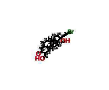 C[C@]12C/C(=C/O)C(=O)C=C1CC[C@@H]1[C@@H]2CC[C@@]2(C)[C@H]1C=C[C@@]2(O)C#CBr